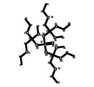 CCOCC(OC)(OCC)OP(=O)(OC(COCC)(OC)OCC)OC(COCC)(OC)OCC